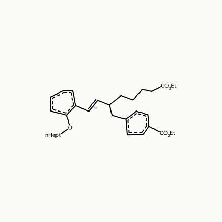 CCCCCCCOc1ccccc1/C=C/C(CCCCC(=O)OCC)Cc1ccc(C(=O)OCC)cc1